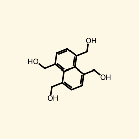 OCc1ccc(CO)c2c(CO)ccc(CO)c12